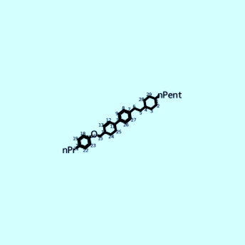 CCCCCC1CCC(CCc2ccc(C3C=CC(COc4ccc(CCC)cc4)CC3)cc2)CC1